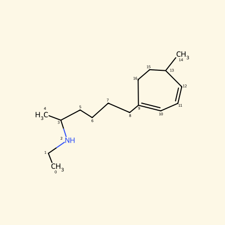 CCNC(C)CCCCC1=CC=CC(C)CC1